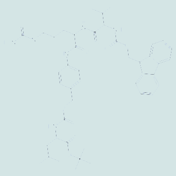 CC(C)CC(NC(=O)OCc1ccc(NC(=O)C(CCCNC(N)=O)NC(=O)C(NC(=O)OCC2c3ccccc3-c3ccccc32)C(C)C)cc1)C(=O)OC(C)(C)C